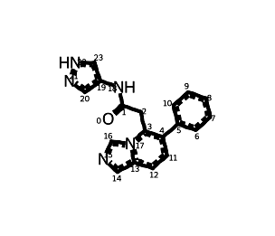 O=C(Cc1c(-c2ccccc2)ccc2cncn12)Nc1cn[nH]c1